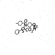 CCOC1CCC(N(C(=O)C2CCC(C)CC2)c2cc(C3=CCCCC3)sc2C(=O)O)CC1